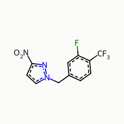 O=[N+]([O-])c1ccn(Cc2ccc(C(F)(F)F)c(F)c2)n1